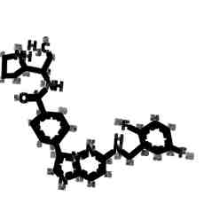 CCC(NC(=O)c1ccc(-c2cnc3ccc(NCc4cc(F)ccc4F)nn23)cc1)C1CCCN1